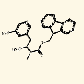 COc1cncc(CC(C(=O)O)N(C)C(=O)OCC2c3ccccc3-c3ccccc32)c1